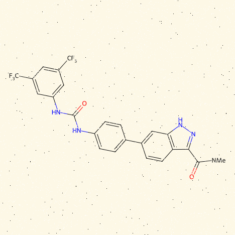 CNC(=O)c1n[nH]c2cc(-c3ccc(NC(=O)Nc4cc(C(F)(F)F)cc(C(F)(F)F)c4)cc3)ccc12